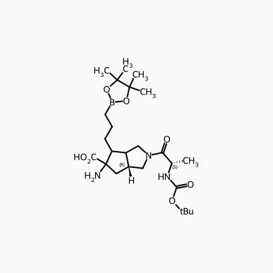 C[C@H](NC(=O)OC(C)(C)C)C(=O)N1CC2C(CCCB3OC(C)(C)C(C)(C)O3)C(N)(C(=O)O)C[C@H]2C1